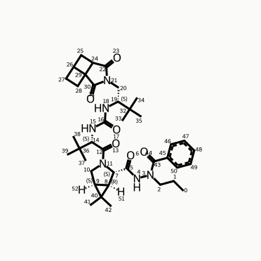 CCCN(NC(=O)[C@@H]1[C@@H]2[C@H](CN1C(=O)[C@@H](NC(=O)N[C@H](CN1C(=O)C3CC4CCC43C1=O)C(C)(C)C)C(C)(C)C)C2(C)C)C(=O)c1ccccc1